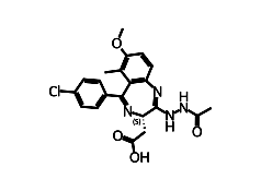 COc1ccc2c(c1C)C(c1ccc(Cl)cc1)=N[C@@H](CC(=O)O)C(NNC(C)=O)=N2